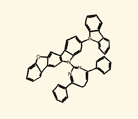 C1=C(c2ccccc2)N=C(n2c3cc(-n4c5ccccc5c5ccccc54)ccc3c3cc4oc5ccccc5c4cc32)N=C(c2ccccc2)C1